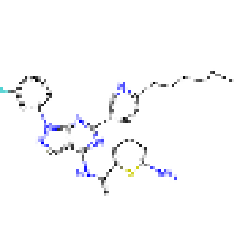 C=C(Nc1nc(-c2ccc(CCCCCC)nc2)nc2c1cnn2-c1cccc(F)c1)C1=CCC=C(N)S1